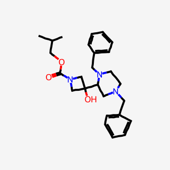 CC(C)COC(=O)N1CC(O)(C2CN(Cc3ccccc3)CCN2Cc2ccccc2)C1